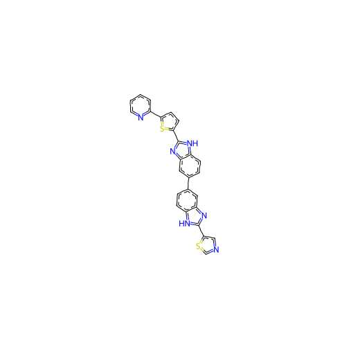 c1ccc(-c2ccc(-c3nc4cc(-c5ccc6[nH]c(-c7cncs7)nc6c5)ccc4[nH]3)s2)nc1